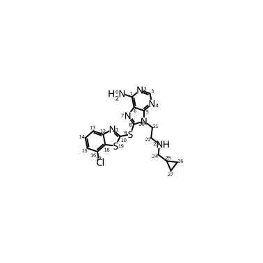 Nc1ncnc2c1nc(Sc1nc3cccc(Cl)c3s1)n2CCNCC1CC1